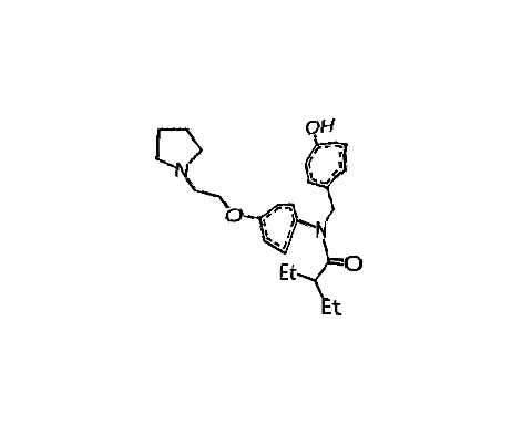 CCC(CC)C(=O)N(Cc1ccc(O)cc1)c1ccc(OCCN2CCCC2)cc1